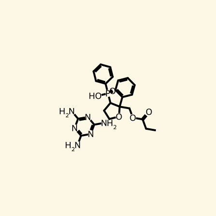 CCC(=O)OCC1(c2ccccc2)OCCC1P(=O)(O)c1ccccc1.Nc1nc(N)nc(N)n1